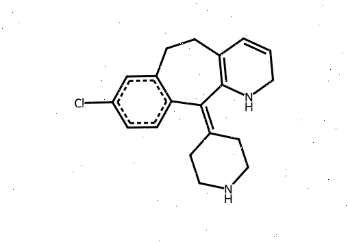 Clc1ccc2c(c1)CCC1=C(NCC=C1)C2=C1CCNCC1